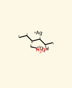 CC(=O)O.CCCCCC.O.[Ag]